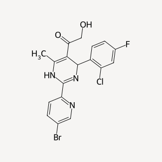 CC1=C(C(=O)CO)C(c2ccc(F)cc2Cl)N=C(c2ccc(Br)cn2)N1